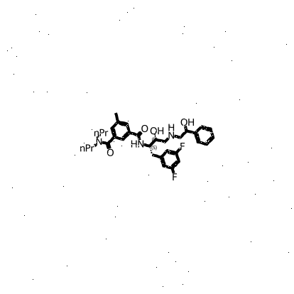 CCCN(CCC)C(=O)c1cc(C)cc(C(=O)N[C@@H](Cc2cc(F)cc(F)c2)[C@H](O)CNCC(O)c2ccccc2)c1